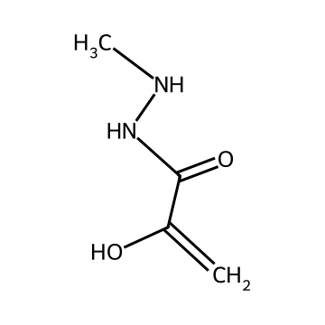 C=C(O)C(=O)NNC